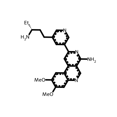 CC[C@@H](N)CCc1cncc(-c2cc3c(cnc4cc(OC)c(OC)cc43)c(N)n2)c1